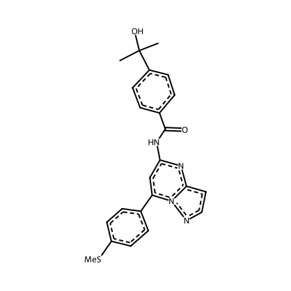 CSc1ccc(-c2cc(NC(=O)c3ccc(C(C)(C)O)cc3)nc3ccnn23)cc1